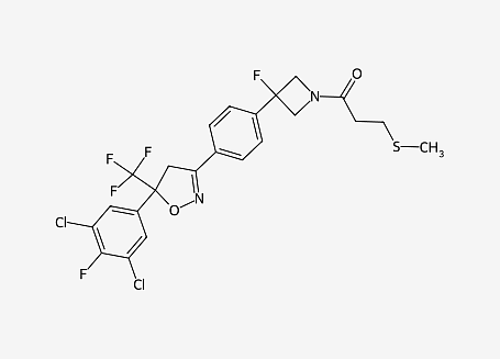 CSCCC(=O)N1CC(F)(c2ccc(C3=NOC(c4cc(Cl)c(F)c(Cl)c4)(C(F)(F)F)C3)cc2)C1